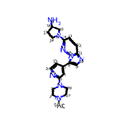 CC(=O)N1CCN(c2cc(-c3cnc4ccc(N5CCC(N)C5)nn34)ccn2)CC1